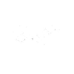 Cc1ncc(C(C)C)c(CC(=O)N=S(N)(=O)c2sc(C(C)(C)O)cc2F)c1C(C)C